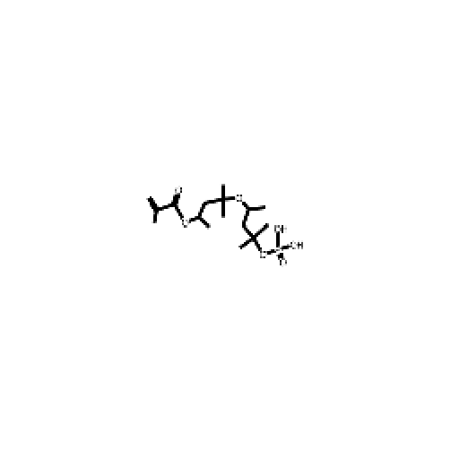 C=C(C)C(=O)OC(C)CC(C)(C)OC(C)CC(C)(C)OP(=O)(O)O